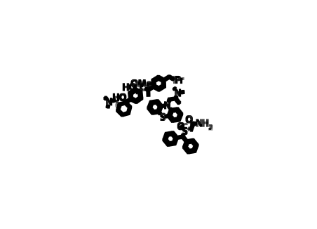 CC(C)Cc1ccc(C(C)C(=O)O)cc1.CC(CN1c2ccccc2Sc2ccccc21)N(C)C.COc1cccc([C@@]2(O)CCCC[C@@H]2CN(C)C)c1.NC(=O)C[S+]([O-])C(c1ccccc1)c1ccccc1